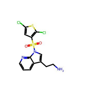 NCCc1cn(S(=O)(=O)c2cc(Cl)sc2Cl)c2ncccc12